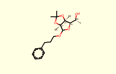 C[C@@H](O)[C@H]1OC(OCCCc2ccccc2)[C@H]2OC(C)(C)O[C@@H]12